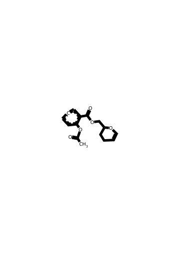 CC(=O)Oc1ccccc1C(=O)OCC1CCC=CO1